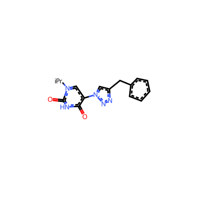 CC(C)n1cc(-n2cc(Cc3ccccc3)nn2)c(=O)[nH]c1=O